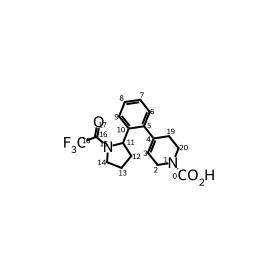 O=C(O)N1CC=C(c2ccccc2C2CCCN2C(=O)C(F)(F)F)CC1